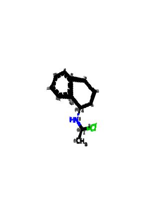 C[C@H](Cl)N[C@H]1CCCc2ccccc21